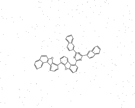 c1ccc2cc(-c3nc(-c4ccc5ccccc5c4)nc(-c4cccc5oc6c(-c7cccc8c7oc7ccc9ccccc9c78)cccc6c45)n3)ccc2c1